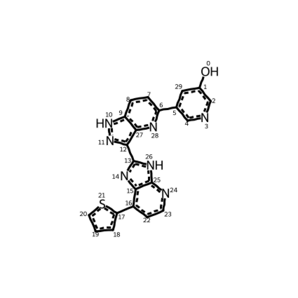 Oc1cncc(-c2ccc3[nH]nc(-c4nc5c(-c6cccs6)ccnc5[nH]4)c3n2)c1